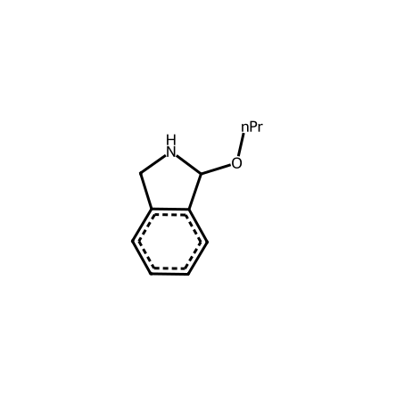 CCCOC1NCc2ccccc21